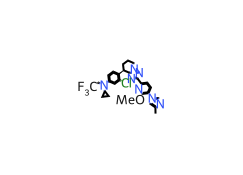 COc1nc(-c2nc3n(n2)CCC[C@@H]3c2ccc(N(CC(F)(F)F)C3CC3)cc2Cl)ccc1-n1cnc(C)c1